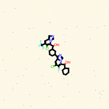 OC(c1c(Cl)c(C(F)(F)F)cc2cncn12)C1CCCC(c2ncn3c(C(O)C4CCCCC4)c(F)c(Cl)cc23)C1